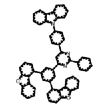 c1ccc(-c2nc(-c3ccc(-n4c5ccccc5c5ccccc54)cc3)cc(-c3cc(-c4cccc5oc6ccccc6c45)cc(-c4cccc5oc6ccccc6c45)c3)n2)cc1